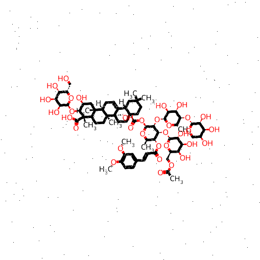 COc1ccc(/C=C/C(=O)O[C@H]2[C@@H](O[C@H]3O[C@H](COC(C)=O)[C@H](O)[C@H](O)[C@H]3O)[C@@H](O[C@H]3O[C@H](C)[C@@H](O[C@H]4OC[C@H](O)[C@H](O)[C@H]4O)[C@@H](O)[C@@H]3O)[C@H](OC(=O)[C@]34CCC(C)(C)C[C@H]3C3=CC[C@@H]5[C@@]6(C)C[C@H](O)[C@H](O[C@@H]7O[C@@H](CO)[C@@H](O)[C@H](O)[C@@H]7O)[C@@](C)(C(=O)O)C6CC[C@@]5(C)[C@]3(CO)CC4)O[C@@H]2C)cc1OC